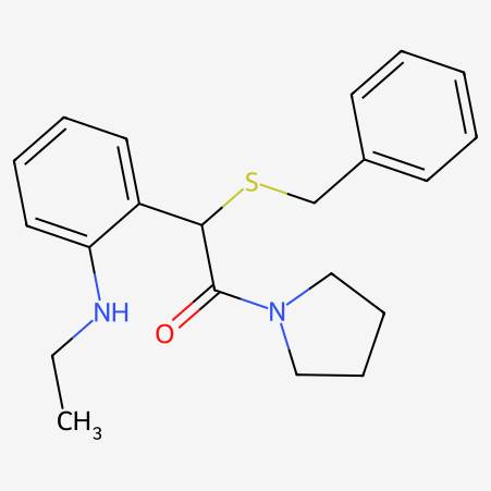 CCNc1ccccc1C(SCc1ccccc1)C(=O)N1CCCC1